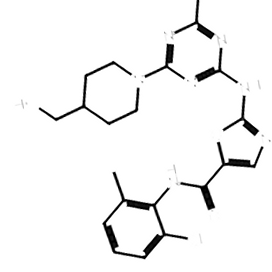 CCc1nc(Nc2ncc(C(=O)Nc3c(C)cccc3Cl)o2)nc(N2CCC(CO)CC2)n1